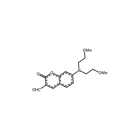 COCCN(CCOC)c1ccc2cc(C=O)c(=O)oc2c1